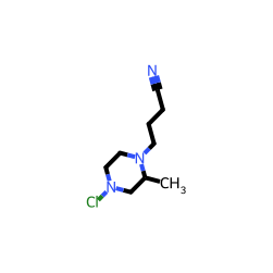 CC1CN(Cl)CCN1CCCC#N